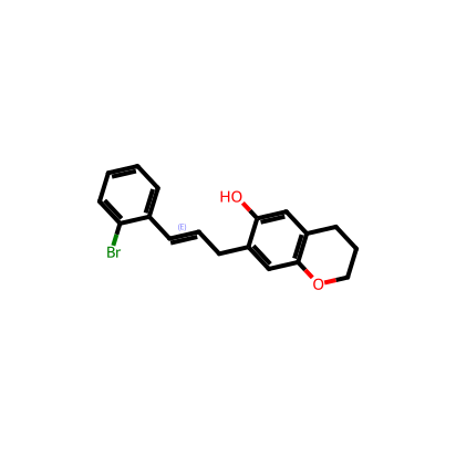 Oc1cc2c(cc1C/C=C/c1ccccc1Br)OCCC2